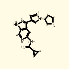 O=C(Nc1cc2c(-c3cnn([C@@H]4CCOC4)c3)n[nH]c2cn1)C1CC1